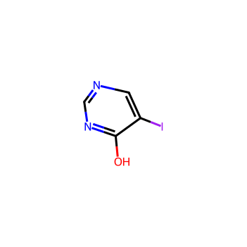 Oc1ncncc1I